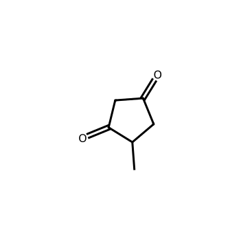 CC1CC(=O)CC1=O